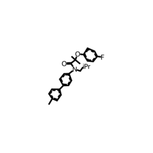 Cc1ccc(-c2ccc(N(CC(C)C)C(=O)C(C)(C)Oc3ccc(F)cc3)cc2)cc1